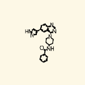 O=C(NC1CCN(c2ncnc3ccc(-c4cn[nH]c4)cc23)CC1)c1ccccc1